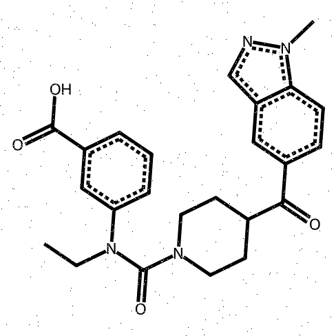 CCN(C(=O)N1CCC(C(=O)c2ccc3c(cnn3C)c2)CC1)c1cccc(C(=O)O)c1